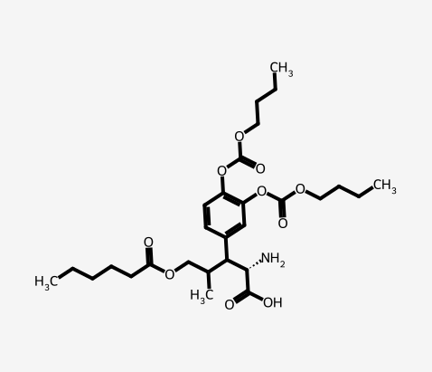 CCCCCC(=O)OCC(C)C(c1ccc(OC(=O)OCCCC)c(OC(=O)OCCCC)c1)[C@H](N)C(=O)O